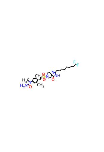 Cc1cc(N(C)C(N)=O)cc(C)c1C=CS(=O)(=O)N1CCC2(CC1)N=C(CCCCCCCCC(F)F)NC2=O